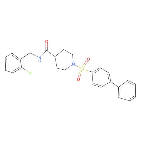 O=C(NCc1ccccc1F)C1CCN(S(=O)(=O)c2ccc(-c3ccccc3)cc2)CC1